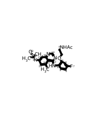 CC(=O)NCCOc1cc(F)ccc1Nc1ncnc2cc(N=S(C)(C)=O)cc(C)c12